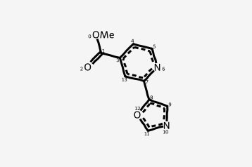 COC(=O)c1ccnc(-c2cnco2)c1